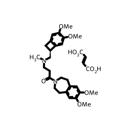 COc1cc2c(cc1OC)CCN(C(=O)CCN(C)C[C@H]1Cc3cc(OC)c(OC)cc31)CC2.O=C(O)/C=C/C(=O)O